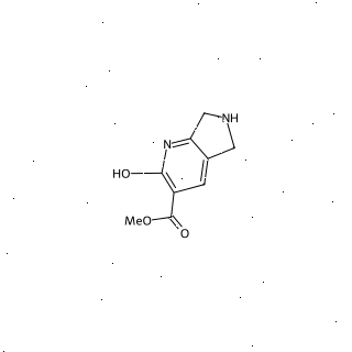 COC(=O)c1cc2c(nc1O)CNC2